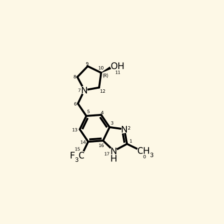 Cc1nc2cc(CN3CC[C@@H](O)C3)cc(C(F)(F)F)c2[nH]1